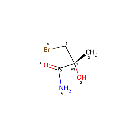 C[C@](O)(CBr)C(N)=O